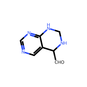 O=CC1NCNc2ncncc21